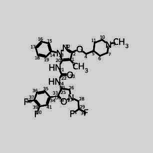 Cc1c(OCC2CCN(C)CC2)nn(-c2ccccc2)c1NC(=O)N[C@@H]1CN(CC(F)F)O[C@H]1c1ccc(F)c(F)c1